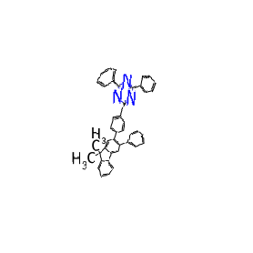 CC1(C)c2ccccc2-c2cc(-c3ccccc3)c(-c3ccc(-c4nc(-c5ccccc5)nc(-c5ccccc5)n4)cc3)cc21